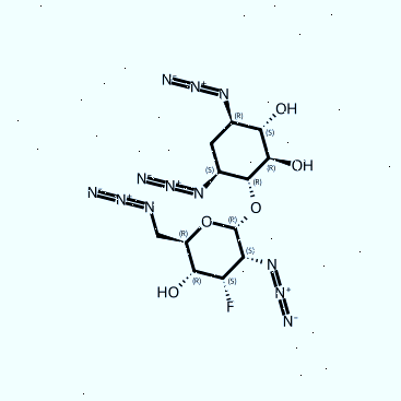 [N-]=[N+]=NC[C@H]1O[C@H](O[C@H]2[C@H](O)[C@@H](O)[C@H](N=[N+]=[N-])C[C@@H]2N=[N+]=[N-])[C@H](N=[N+]=[N-])[C@H](F)[C@@H]1O